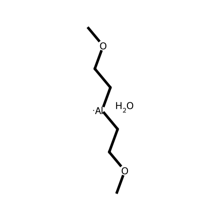 COC[CH2][Al][CH2]COC.O